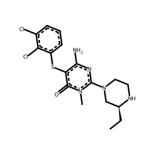 CC[C@H]1CN(c2nc(N)c(Sc3cccc(Cl)c3Cl)c(=O)n2C)CCN1